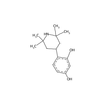 CC1(C)[CH][C](c2ccc(O)cc2O)CC(C)(C)N1